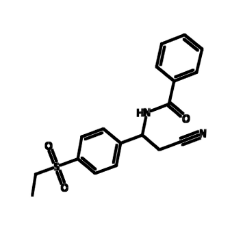 CCS(=O)(=O)c1ccc(C(CC#N)NC(=O)c2ccccc2)cc1